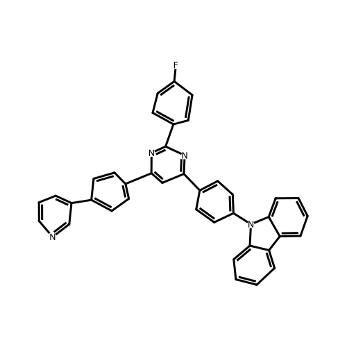 Fc1ccc(-c2nc(-c3ccc(-c4cccnc4)cc3)cc(-c3ccc(-n4c5ccccc5c5ccccc54)cc3)n2)cc1